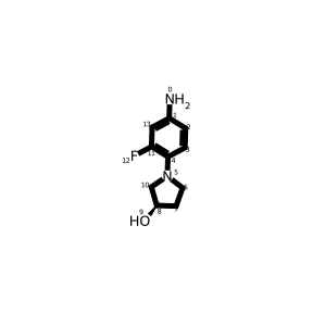 Nc1ccc(N2CC[C@@H](O)C2)c(F)c1